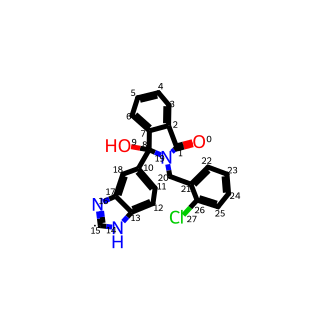 O=C1c2ccccc2C(O)(c2ccc3[nH][c]nc3c2)N1Cc1ccccc1Cl